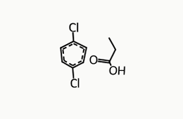 CCC(=O)O.Clc1ccc(Cl)cc1